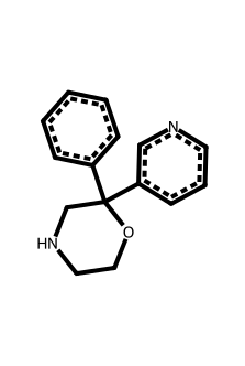 c1ccc(C2(c3cccnc3)CNCCO2)cc1